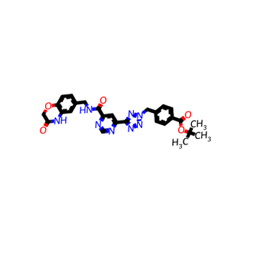 CC(C)(C)OC(=O)c1ccc(Cn2nnc(-c3cc(C(=O)NCc4ccc5c(c4)NC(=O)CO5)ncn3)n2)cc1